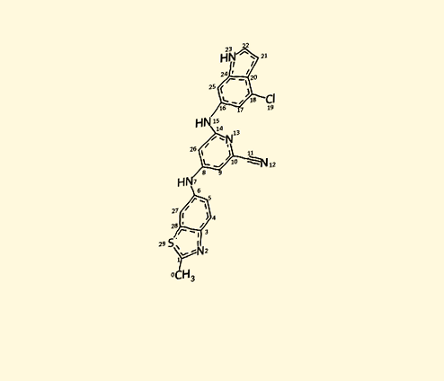 Cc1nc2ccc(Nc3cc(C#N)nc(Nc4cc(Cl)c5cc[nH]c5c4)c3)cc2s1